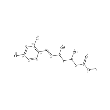 COC(=O)CC(O)CC(O)C=Cc1ccc(Cl)cc1Cl